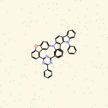 c1ccc(-c2nc(-c3ccccc3)nc(-c3cccc4oc5ccc(-n6c7ccccc7c7c6ccc6c8ccccc8n(-c8ccccc8)c67)cc5c34)n2)cc1